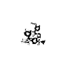 CCOc1cc([C@H](Nc2cc(C(N)=O)ccc2F)C(=O)N2CCC[C@@H]2c2cc(NC(=O)OC)ccc2S(=O)(=O)C2CC2)ccc1F